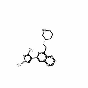 Cc1nn(C)cc1-c1cc2nccnc2c(OC[C@H]2CCCNC2)n1